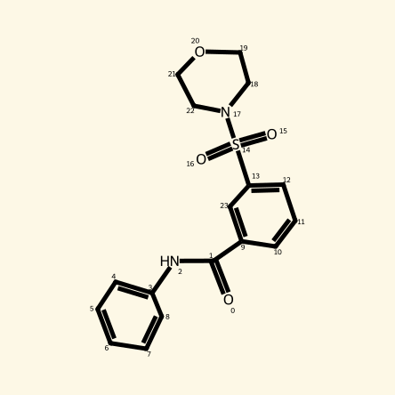 O=C(Nc1ccccc1)c1cccc(S(=O)(=O)N2CCOCC2)c1